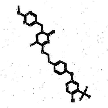 COc1ncc(Cn2cc(F)c(OCCc3ccc(Oc4ccc(Cl)c(C(F)(F)F)c4)cc3)nc2=O)cn1